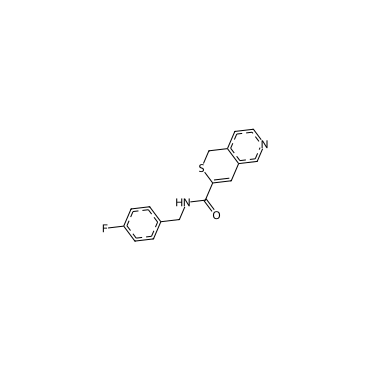 O=C(NCc1ccc(F)cc1)C1=Cc2cnccc2CS1